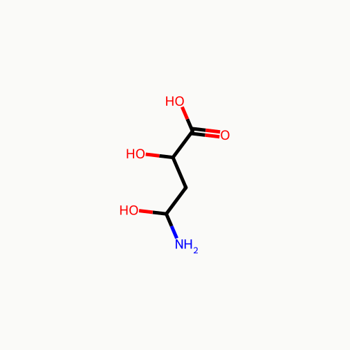 NC(O)CC(O)C(=O)O